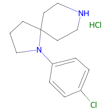 Cl.Clc1ccc(N2CCCC23CCNCC3)cc1